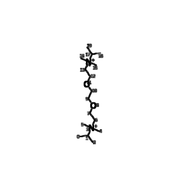 CC(C)[N+](C)(C)CCOCCOCC[N+](C)(C)C(C)C